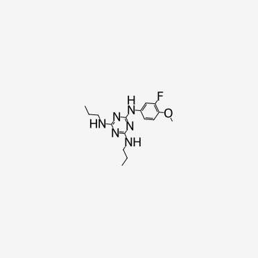 CCCNc1nc(NCCC)nc(Nc2ccc(OC)c(F)c2)n1